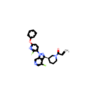 C=CC(=O)N1CCC[C@@H](c2nn(-c3ccc(Oc4ccccc4)nc3F)c3cncc(F)c23)C1